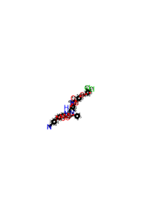 CC(c1ccccc1)N1Cc2cc3c(cc2C[C@H]1C(=O)NC(Cc1ccc(-c2ccc(C#N)cc2)cc1)C(=O)O)N(C)C(=O)[C@H](c1ccc(OCc2ccc(Cl)c(Cl)c2)cc1)O3